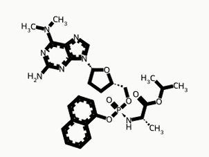 CC(C)OC(=O)[C@H](C)N[P@](=O)(OC[C@@H]1CC[C@H](n2cnc3c(N(C)C)nc(N)nc32)O1)Oc1cccc2ccccc12